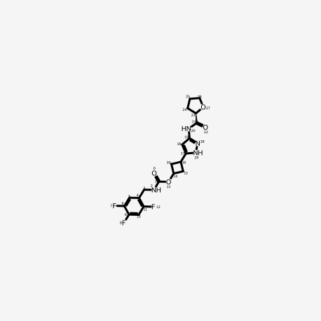 O=C(NCc1cc(F)c(F)cc1F)OC1CC(c2cc(NC(=O)[C@H]3CCCO3)n[nH]2)C1